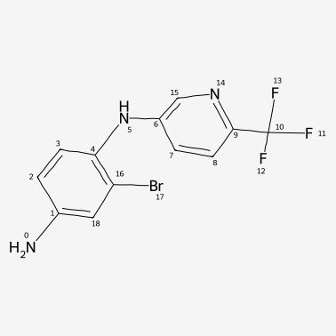 Nc1ccc(Nc2ccc(C(F)(F)F)nc2)c(Br)c1